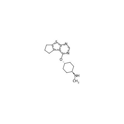 CN[C@H]1CC[C@H](Oc2ncnc3sc4c(c23)CCC4)CC1